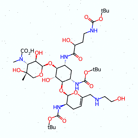 CN(C(=O)O)[C@@H]1[C@@H](O)[C@@H](O[C@@H]2[C@@H](O)[C@H](O[C@H]3OC(CNCCO)=CC[C@H]3NC(=O)OC(C)(C)C)[C@@H](NC(=O)OC(C)(C)C)C[C@H]2NC(=O)C(O)CCNC(=O)OC(C)(C)C)OC[C@]1(C)O